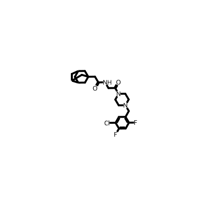 O=C(CC12CC3CC(C1)C(C3)C2)NCC(=O)N1CCN(Cc2cc(Cl)c(F)cc2F)CC1